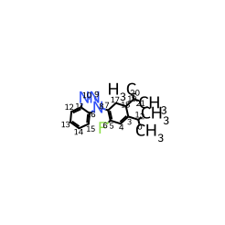 CC(C)C1=CC(F)=C(n2nnc3ccccc32)CC1C(C)C